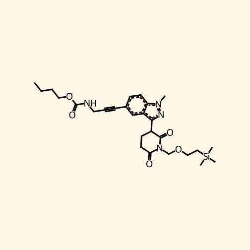 CCCCOC(=O)NCC#Cc1ccc2c(c1)c(C1CCC(=O)N(COCC[Si](C)(C)C)C1=O)nn2C